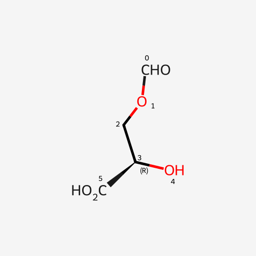 O=COC[C@@H](O)C(=O)O